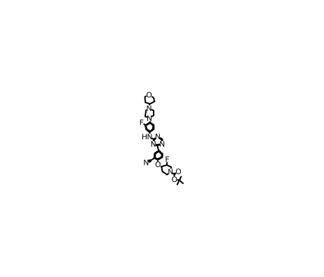 CC(C)(C)OC(=O)N1CCC(Oc2ccc(-c3ncnc(Nc4ccc(N5CCN(C6CCOCC6)CC5)c(F)c4)n3)cc2C#N)C(F)C1